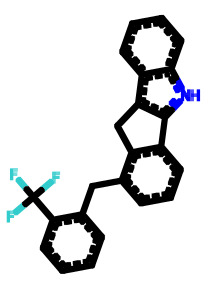 FC(F)(F)c1ccccc1Cc1cccc2c1Cc1c-2[nH]c2ccccc12